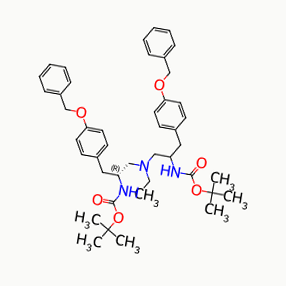 CCN(CC(Cc1ccc(OCc2ccccc2)cc1)NC(=O)OC(C)(C)C)C[C@@H](Cc1ccc(OCc2ccccc2)cc1)NC(=O)OC(C)(C)C